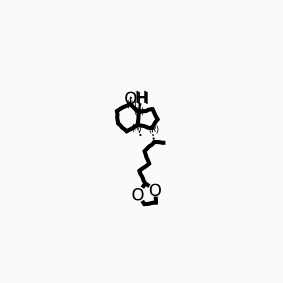 CC(CCCC1OCCO1)[C@H]1CC[C@H]2[C@@H](O)CCC[C@]12C